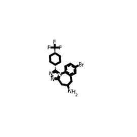 NC1Cc2cc(Br)ccc2-n2c(nnc2[C@H]2CC[C@H](C(F)(F)F)CC2)C1